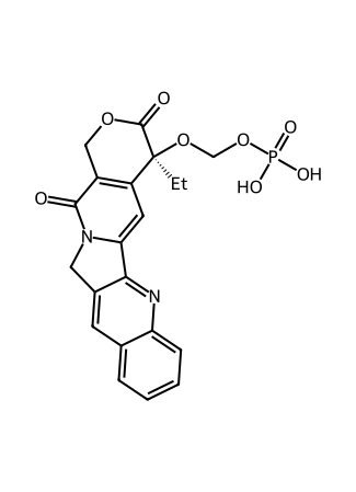 CC[C@@]1(OCOP(=O)(O)O)C(=O)OCc2c1cc1n(c2=O)Cc2cc3ccccc3nc2-1